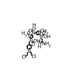 Cn1cc(N(C(=O)O)c2cc(N(Cc3ccc(N(CCCl)CCCl)cc3)C(=O)O)cn2C)cc1N(CCC(=N)N)C(=O)O